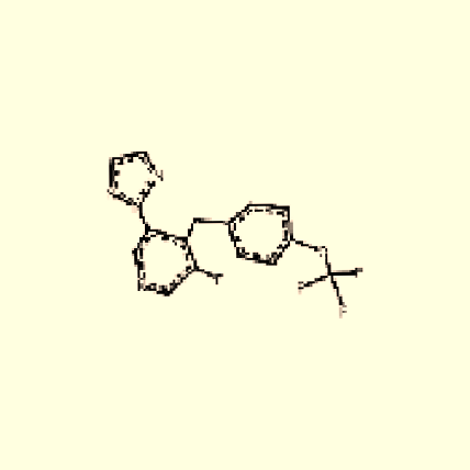 Fc1cncc(-n2nccn2)c1Cc1ccc(OC(F)(F)F)cc1